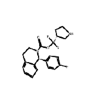 O=C(OC(F)(F)[C@@H]1CCNC1)N1CCc2ccccc2[C@@H]1c1ccc(F)cc1